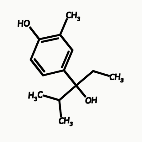 CCC(O)(c1ccc(O)c(C)c1)C(C)C